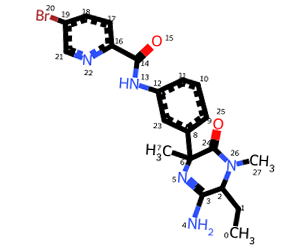 CCC1C(N)=NC(C)(c2cccc(NC(=O)c3ccc(Br)cn3)c2)C(=O)N1C